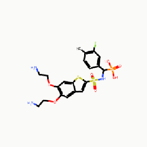 N#Cc1ccc(C(NS(=O)(=O)c2cc3cc(OCCN)c(OCCN)cc3s2)P(=O)(O)O)cc1F